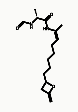 C=C1CC(CCCCC/C=C(/C)NC(=O)[C@@H](C)NC=O)O1